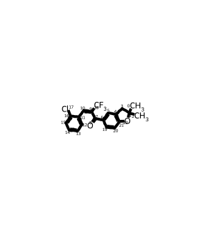 CC1(C)Cc2cc(C(=O)/C(=C\c3ccccc3Cl)C(F)(F)F)ccc2O1